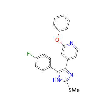 CSc1nc(-c2ccnc(Oc3ccccc3)c2)c(-c2ccc(F)cc2)[nH]1